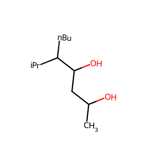 CCCCC(C(C)C)C(O)CC(C)O